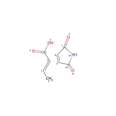 CC=CC(=O)O.O=C1C=CC(=O)N1